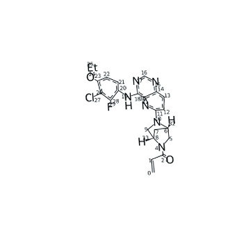 C=CC(=O)N1C[C@@H]2C[C@H]1CN2c1ccc2ncnc(Nc3ccc(OCC)c(Cl)c3F)c2n1